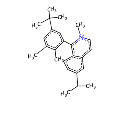 Cc1cc(C(C)(C)C)cc(-c2c3ccc(C(C)C)cc3cc[n+]2C)c1C